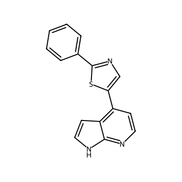 c1ccc(-c2ncc(-c3ccnc4[nH]ccc34)s2)cc1